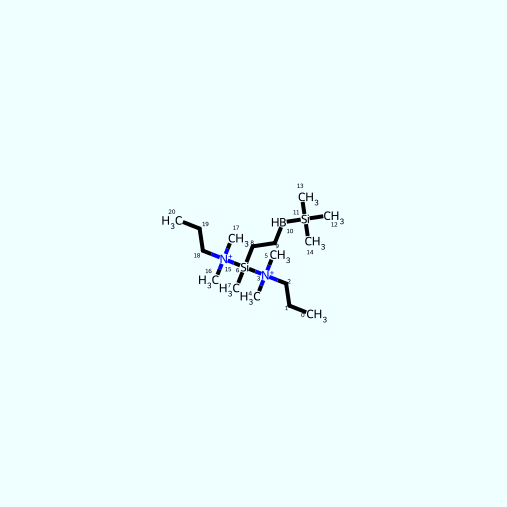 CCC[N+](C)(C)[Si](C)(CCB[Si](C)(C)C)[N+](C)(C)CCC